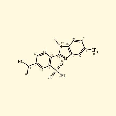 CCS(=O)(=O)c1cc(C(C)C#N)cnc1-c1nc2cc(C(F)(F)F)ncc2n1C